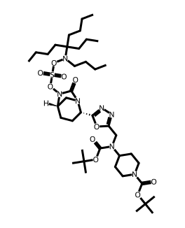 CCCCN(OS(=O)(=O)ON1C(=O)N2C[C@@H]1CC[C@H]2c1nnc(CN(C(=O)OC(C)(C)C)C2CCN(C(=O)OC(C)(C)C)CC2)o1)C(CCC)(CCCC)CCCC